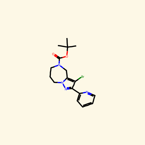 CC(C)(C)OC(=O)N1CCCn2nc(-c3ccccn3)c(Br)c2C1